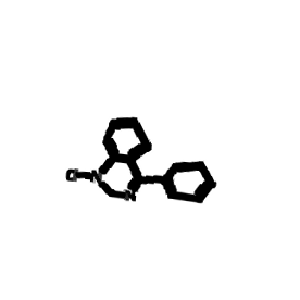 ClN1CN=C(c2ccccc2)c2ccccc21